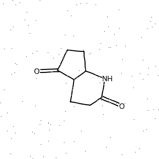 O=C1CCC2C(=O)CCC2N1